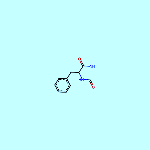 [NH]C(=O)C(Cc1ccccc1)NC=O